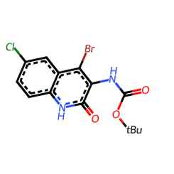 CC(C)(C)OC(=O)Nc1c(Br)c2cc(Cl)ccc2[nH]c1=O